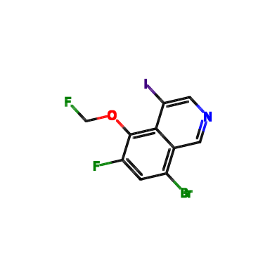 FCOc1c(F)cc(Br)c2cncc(I)c12